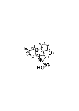 COc1cccc(OC)c1-c1cc(C(=O)O)nn1-c1ccc(F)cc1